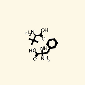 CC(C)(C)C(N)C(=O)O.NC(N)(Cc1ccccc1)C(=O)O